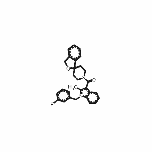 Cc1c(C(=O)N2CCC3(CC2)OCc2ccccc23)c2ccccc2n1Cc1cccc(F)c1